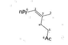 CCCC=C(C)CCC(C)=O